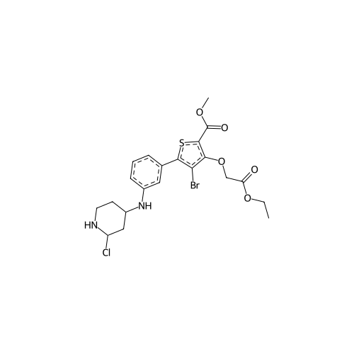 CCOC(=O)COc1c(C(=O)OC)sc(-c2cccc(NC3CCNC(Cl)C3)c2)c1Br